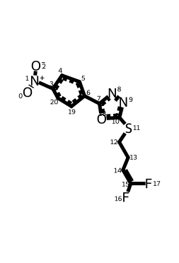 O=[N+]([O-])c1ccc(-c2nnc(SCCC=C(F)F)o2)cc1